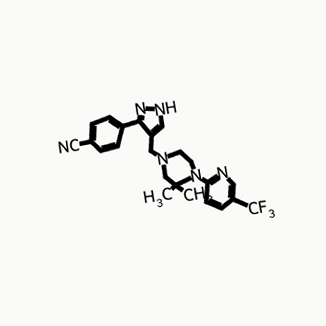 CC1(C)CN(Cc2c[nH]nc2-c2ccc(C#N)cc2)CCN1c1ccc(C(F)(F)F)cn1